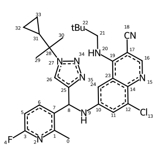 Cc1nc(F)ccc1C(Nc1cc(Cl)c2ncc(C#N)c(NCC(C)(C)C)c2c1)c1cn(C(C)(C)C2CC2)nn1